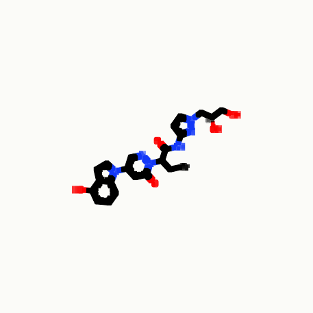 CC(C)CC(C(=O)Nc1ccn(C[C@@H](O)CO)n1)n1ncc(-n2ccc3c(O)cccc32)cc1=O